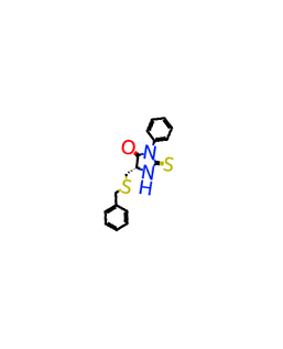 O=C1[C@@H](CSCc2ccccc2)NC(=S)N1c1ccccc1